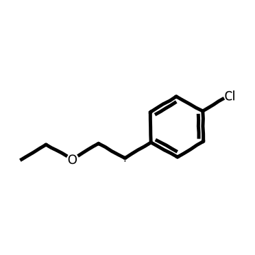 CCOC[CH]c1ccc(Cl)cc1